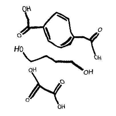 O=C(O)C(=O)O.O=C(O)c1ccc(C(=O)O)cc1.OCCCCO